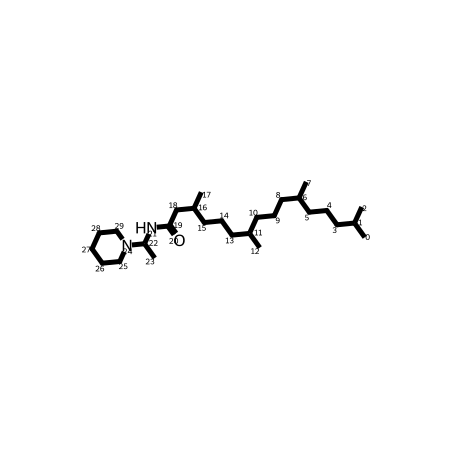 CC(C)CCCC(C)CCCC(C)CCCC(C)CC(=O)NC(C)N1CCCCC1